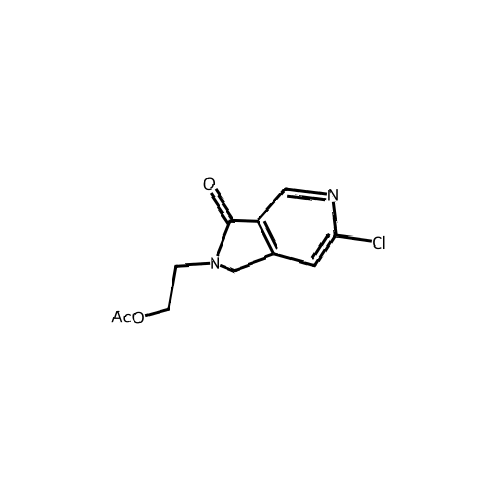 CC(=O)OCCN1Cc2cc(Cl)ncc2C1=O